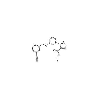 CCOC(=O)c1ncsc1-c1cccc(OCc2cccc(C#N)c2)c1